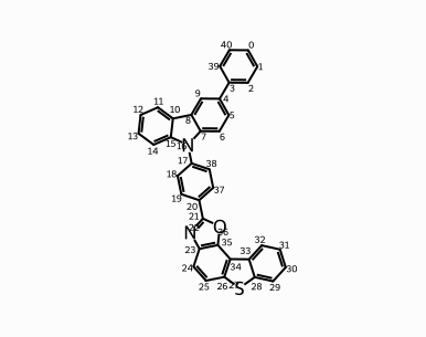 c1ccc(-c2ccc3c(c2)c2ccccc2n3-c2ccc(-c3nc4ccc5sc6ccccc6c5c4o3)cc2)cc1